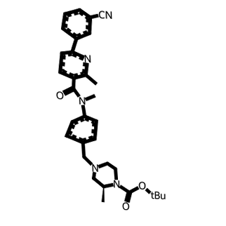 Cc1nc(-c2cccc(C#N)c2)ccc1C(=O)N(C)c1ccc(CN2CCN(C(=O)OC(C)(C)C)[C@@H](C)C2)cc1